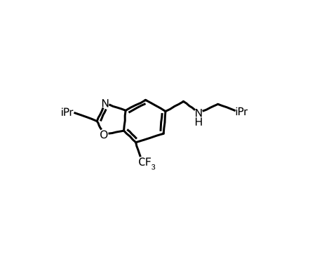 CC(C)CNCc1cc(C(F)(F)F)c2oc(C(C)C)nc2c1